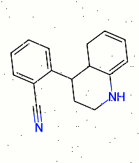 N#Cc1ccccc1C1CCNC2=CC=CCC21